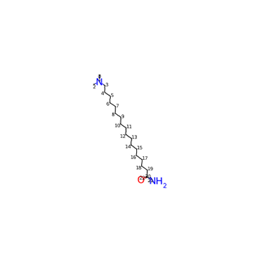 CN(C)CCCCCCCCCCCCCCCCCC(N)=O